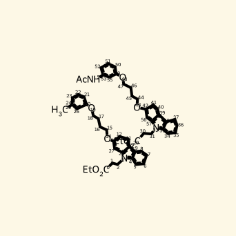 CCOC(=O)CCn1c2ccccc2c2ccc(OCCCCOc3cccc(C)c3)cc21.CCOC(=O)CCn1c2ccccc2c2ccc(OCCCCOc3cccc(NC(C)=O)c3)cc21